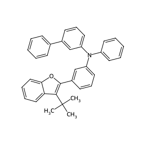 CC(C)(C)c1c(-c2cccc(N(c3ccccc3)c3cccc(-c4ccccc4)c3)c2)oc2ccccc12